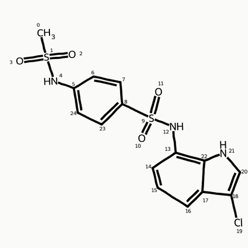 CS(=O)(=O)Nc1ccc(S(=O)(=O)Nc2cccc3c(Cl)c[nH]c23)cc1